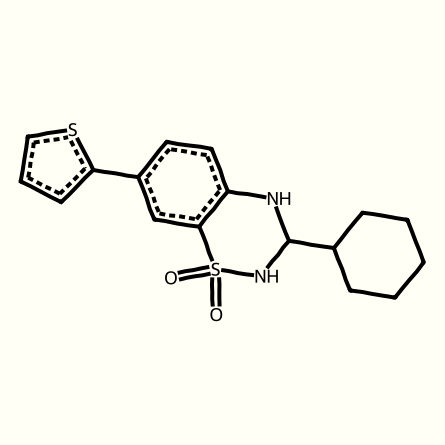 O=S1(=O)NC(C2CCCCC2)Nc2ccc(-c3cccs3)cc21